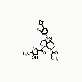 C=CC(=O)N1CCc2nn(-c3ccc(C4CCC4)c(F)c3)c3c2C(C1)N(C(=O)c1cnc(C(F)(F)F)c(O)c1)CC3